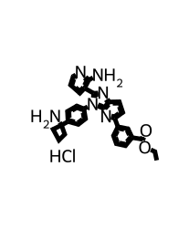 CCOC(=O)c1cccc(-c2ccc3nc(-c4cccnc4N)n(-c4ccc(C5(N)CCC5)cc4)c3n2)c1.Cl